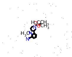 CN1c2c(C#N)cccc2C2CN(C(=O)OC(C)(C)C)CCC21